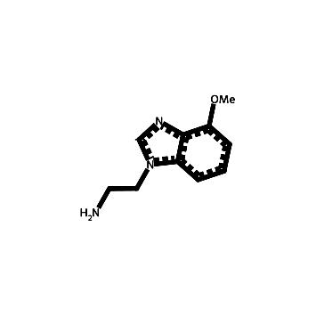 COc1cccc2c1n[c]n2CCN